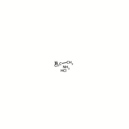 CC.Cl.Cl.N